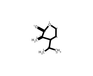 C=C1C(=O)OCCC1C(C)C